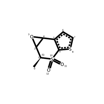 C[C@H]1C2OC2c2ccsc2S1(=O)=O